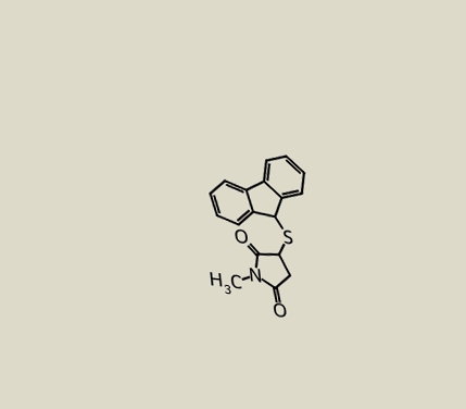 CN1C(=O)CC(SC2c3ccccc3-c3ccccc32)C1=O